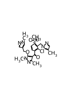 Cc1cnn(Cc2c(S(C)(=O)=O)ccc(C(=O)c3c(C)nn(C)c3OCc3cnn(C)c3)c2Cl)c1